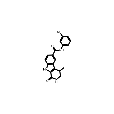 CC(=O)c1cccc(NC(=O)c2ccc3[nH]c4c(c3c2)C(C)CNC4=O)c1